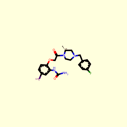 C[C@@H]1CN(Cc2ccc(F)cc2)CCN1C(=O)COc1ccc([123I])cc1NC(N)=O